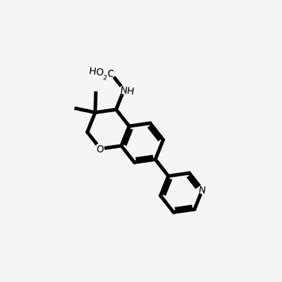 CC1(C)COc2cc(-c3cccnc3)ccc2C1NC(=O)O